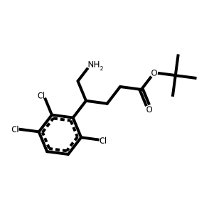 CC(C)(C)OC(=O)CCC(CN)c1c(Cl)ccc(Cl)c1Cl